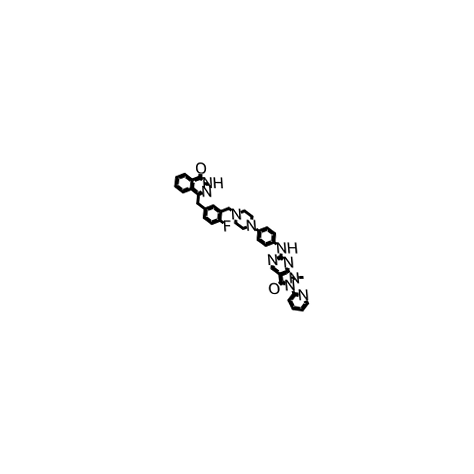 Cn1c2nc(Nc3ccc(N4CCN(Cc5cc(Cc6n[nH]c(=O)c7ccccc67)ccc5F)CC4)cc3)ncc2c(=O)n1-c1ccccn1